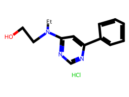 CCN(CCO)c1cc(-c2ccccc2)ncn1.Cl